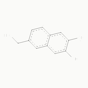 CCc1ccc2cc(O)c(O)cc2c1